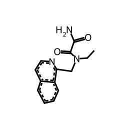 CCN(Cc1nccc2ccccc12)C(=O)C(N)=O